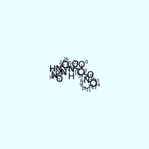 COc1cc(C(=O)N2CCCCc3ccccc32)ccc1C(=O)Nc1cccc2[nH]c(C(=O)N(C)C)nc12